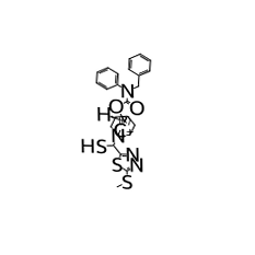 CSc1nnc(C(S)[N+]23CCC(CC2)[C@@H](OC(=O)N(Cc2ccccc2)c2ccccc2)C3)s1